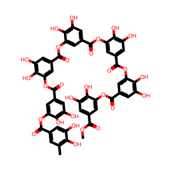 COC(=O)c1cc(O)c(O)c(OC(=O)c2cc(O)c(O)c(OC(=O)c3cc(O)c(O)c(OC(=O)c4cc(O)c(O)c(OC(=O)c5cc(O)c(O)c(OC(=O)c6cc(O)c(O)c(OC(=O)c7cc(C)c(O)c(O)c7)c6)c5)c4)c3)c2)c1